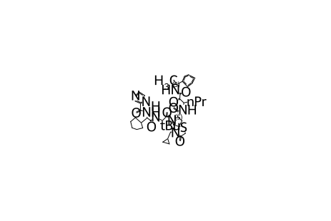 CCCC(NC(=O)[C@@H]1CC2(CN1C(=O)C(NC(=O)C(NC(=O)c1cnccn1)C1CCCCC1)C(C)(C)C)SCC(=O)N2CC1CC1)C(=O)C(=O)N[C@@H](C)c1ccccc1